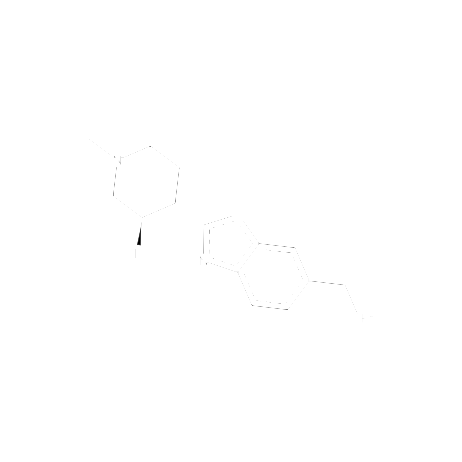 CC[C@H]1CN(C)CC[C@@H]1c1nc2ccc(CC(C)C)cc2s1